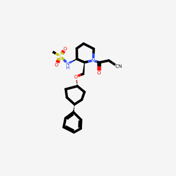 CS(=O)(=O)N[C@H]1CCCN(C(=O)CC#N)[C@H]1CO[C@H]1CC[C@@H](c2ccccc2)CC1